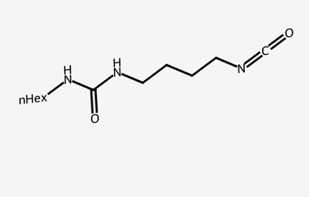 CCCCCCNC(=O)NCCCCN=C=O